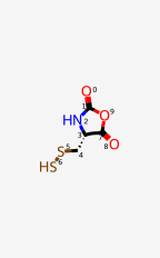 O=C1N[C@@H](CSS)C(=O)O1